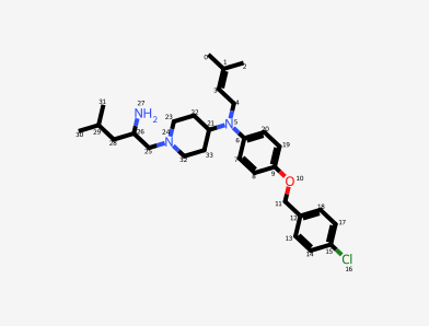 CC(C)=CCN(c1ccc(OCc2ccc(Cl)cc2)cc1)C1CCN(CC(N)CC(C)C)CC1